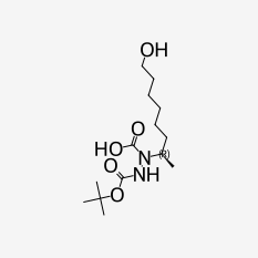 C[C@H](CCCCCCO)N(NC(=O)OC(C)(C)C)C(=O)O